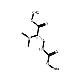 CN(C)[C@@H](CNC(=O)OC(C)(C)C)C(=O)OC=O